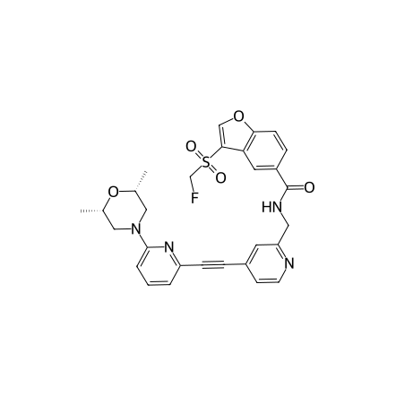 C[C@@H]1CN(c2cccc(C#Cc3ccnc(CNC(=O)c4ccc5occ(S(=O)(=O)CF)c5c4)c3)n2)C[C@H](C)O1